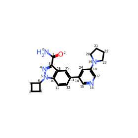 NC(=O)c1nn(C2CCC2)c2ccc(-c3cncc(N4CCCC4)c3)cc12